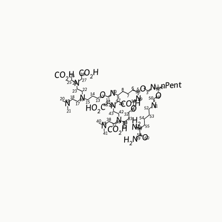 CCCCC[C@H](N=CO[C@H](CCCCN=COCCCN(CCN(C)C)CCN(CC(=O)O)CC(=O)O)N=COCC[C@@H](C(=O)O)N(CCN(C)C)CCN(CC(=O)O)CC(=O)O)OC=NCCCC[C@H](N)C(N)=O